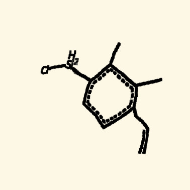 C=Cc1ccc([SiH2]Cl)c(C)c1C